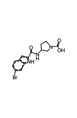 O=C(NC1CCN(C(=O)O)C1)c1cc2ccc(Br)cc2[nH]1